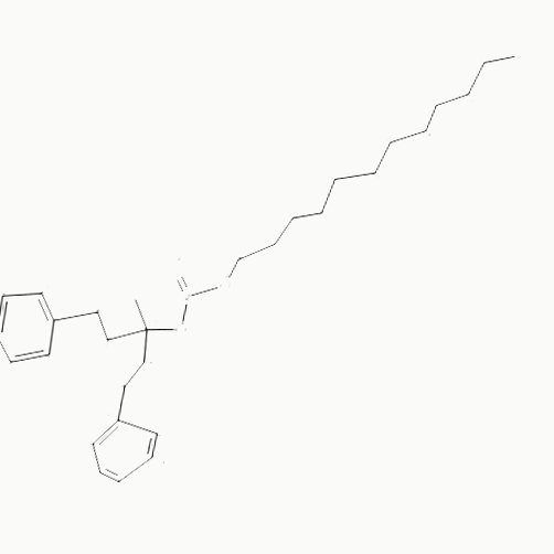 CCCCCCCCCCCCO[Si](=O)OC(C)(CCc1ccccc1)CCc1ccccc1